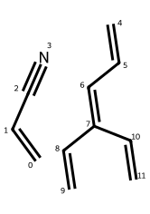 C=CC#N.C=CC=C(C=C)C=C